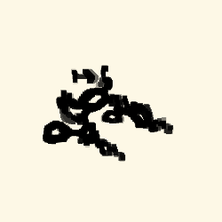 COc1cc2ncnc(-c3cn(C)nc3-c3ccccc3)c2cc1NC(=O)c1cnn(C)c1